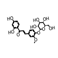 COc1cc(/C=C/C(=O)c2ccc(O)cc2O)ccc1O[C@@H]1O[C@H](CO)[C@@H](O)[C@H](O)[C@H]1O